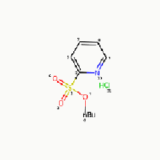 CCCCOS(=O)(=O)c1ccccn1.Cl